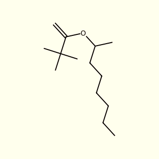 C=C(OC(C)CCCCCC)C(C)(C)C